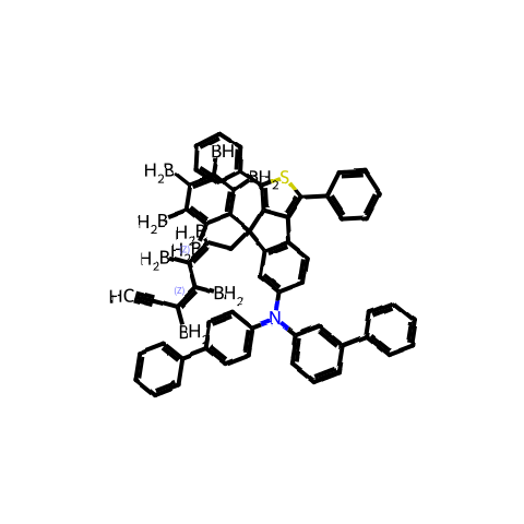 B/C(C#C)=C(B)/C(B)=C(/B)CC1(c2c(B)c(B)c(B)c(B)c2B)c2cc(N(c3ccc(-c4ccccc4)cc3)c3cccc(-c4ccccc4)c3)ccc2-c2c(-c3ccccc3)sc(-c3ccccc3)c21